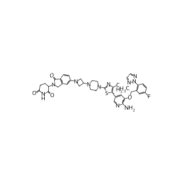 Cc1nc(N2CCN(C3CN(c4ccc5c(c4)CN(C4CCC(=O)NC4=O)C5=O)C3)CC2)sc1-c1cnc(N)c(O[C@H](C)c2cc(F)ccc2-n2nccn2)c1